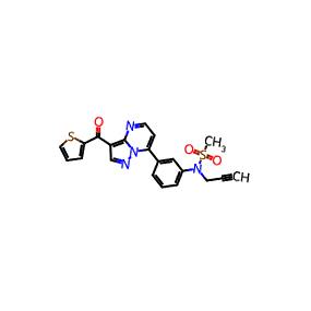 C#CCN(c1cccc(-c2ccnc3c(C(=O)c4cccs4)cnn23)c1)S(C)(=O)=O